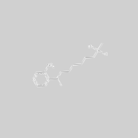 C[C](CCCCCC[Si](C)(Cl)Cl)c1ccccc1[N+](=O)[O-]